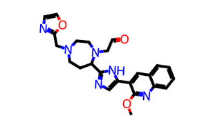 COc1nc2ccccc2cc1-c1cnc(C2CCN(Cc3ncco3)CCN2CC=O)[nH]1